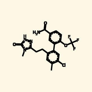 Cc1cc(CCc2n[nH]c(=O)n2C)c(-c2cc(C(N)=O)ccc2OC(F)(F)F)cc1Cl